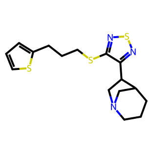 c1csc(CCCSc2nsnc2C2CN3CCCC2C3)c1